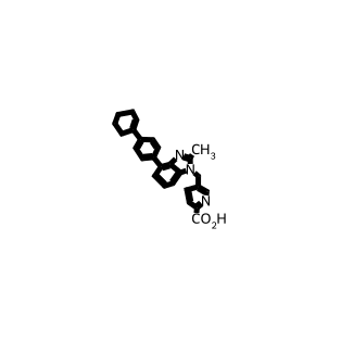 Cc1nc2c(-c3ccc(C4=CCCCC4)cc3)cccc2n1Cc1ccc(C(=O)O)nc1